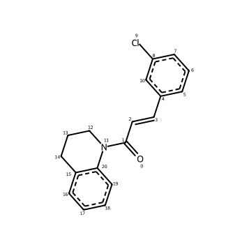 O=C(C=Cc1cccc(Cl)c1)N1CCCc2ccccc21